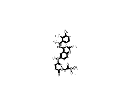 Cc1nc(N[C@H](C)c2cccc(C#N)c2C)c2cc(N(C)c3ccc(=O)n(CC(=O)N(C)C)n3)ccc2n1